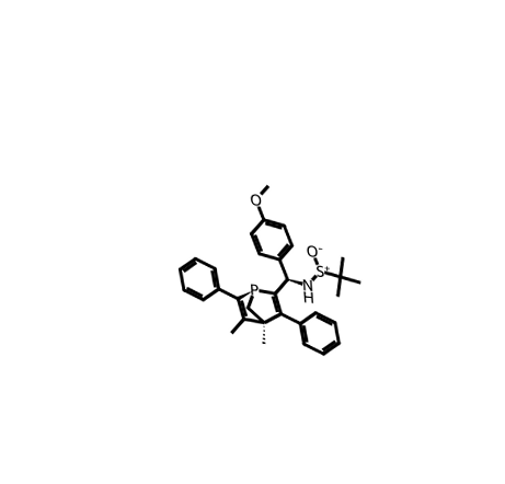 COc1ccc([C@@H](N[S+]([O-])C(C)(C)C)C2=C(c3ccccc3)[C@]3(C)C[P@@]2C(c2ccccc2)=C3C)cc1